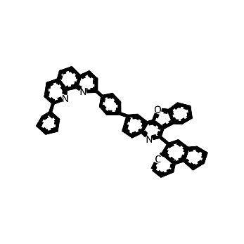 c1ccc(-c2ccc3ccc4ccc(-c5ccc(-c6ccc7nc(-c8cc9ccccc9c9ccccc89)c8c9ccccc9oc8c7c6)cc5)nc4c3n2)cc1